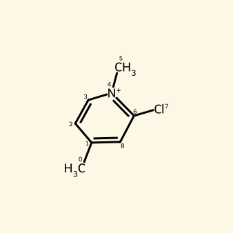 Cc1cc[n+](C)c(Cl)c1